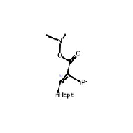 CCCCCCC/C=C(/C(=O)ON(C)C)C(C)C